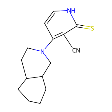 N#Cc1c(N2CCC3CCCCC3C2)cc[nH]c1=S